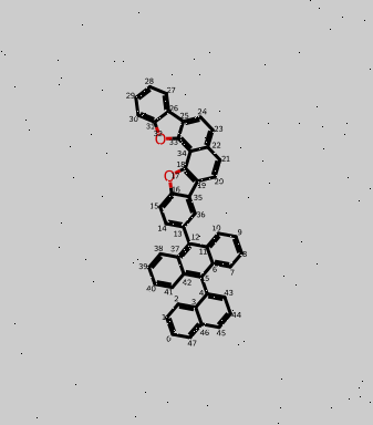 c1ccc2c(-c3c4ccccc4c(-c4ccc5oc6c(ccc7ccc8c9ccccc9oc8c76)c5c4)c4ccccc34)cccc2c1